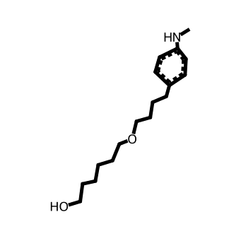 CNc1ccc(CCCCOCCCCCCO)cc1